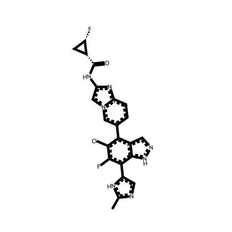 Cc1ncc(-c2c(F)c(Cl)c(-c3ccc4nc(NC(=O)[C@@H]5C[C@@H]5F)cn4c3)c3cn[nH]c23)[nH]1